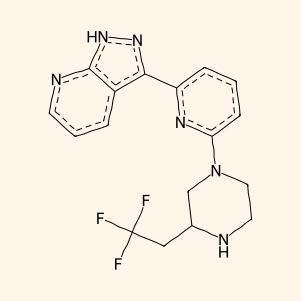 FC(F)(F)CC1CN(c2cccc(-c3n[nH]c4ncccc34)n2)CCN1